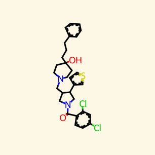 O=C(c1ccc(Cl)cc1Cl)N1CC(CN2CCC(O)(CCCc3ccccc3)CC2)C(c2ccsc2)C1